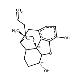 C=CC[N@+]1(C)CC[C@@]23c4c5ccc(O)c4OC2[C@H](O)CCC3C1C5